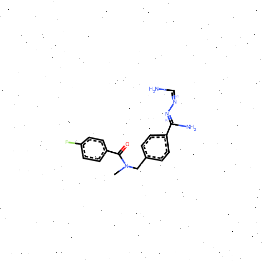 CN(Cc1ccc(/C(N)=N/N=C\N)cc1)C(=O)c1ccc(F)cc1